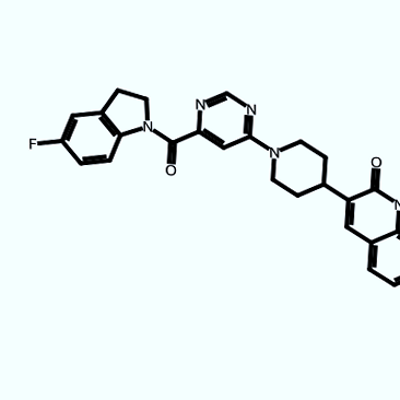 O=C(c1cc(N2CCC(c3cc4ccccc4[nH]c3=O)CC2)ncn1)N1CCc2cc(F)ccc21